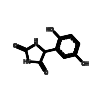 O=C1NC(=O)C(c2cc(O)ccc2O)N1